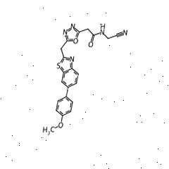 COc1ccc(-c2ccc3nc(Cc4nnc(CC(=O)NCC#N)o4)sc3c2)cc1